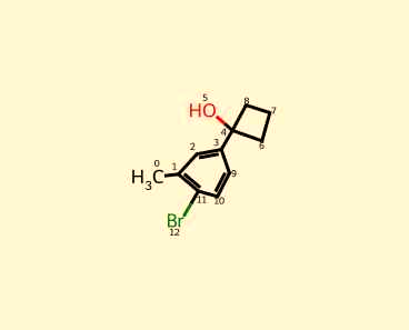 Cc1cc(C2(O)CCC2)ccc1Br